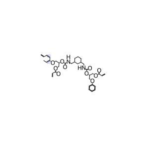 C=C/C=C\C(=C/C)OCC(COC(=O)C=C)OC(=O)NCC1CCCC(CNC(=O)OC(COC(=O)C=C)COc2ccccc2)C1